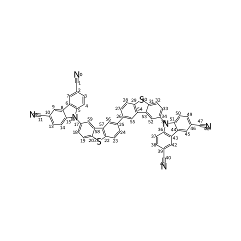 N#Cc1ccc2c(c1)c1cc(C#N)ccc1n2-c1ccc2sc3ccc(-c4ccc5sc6ccc(-n7c8ccc(C#N)cc8c8cc(C#N)ccc87)cc6c5c4)cc3c2c1